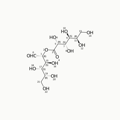 O=C[C@H](OC(=O)[C@H](O)[C@@H](O)[C@@H](O)[C@H](O)CO)[C@@H](O)[C@@H](O)[C@H](O)CO